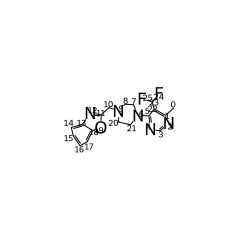 Cc1ncnc(N2CCN(Cc3nc4ccccc4o3)CC2)c1C(F)F